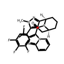 Cn1nc2c(c1-c1cc(F)c(F)c(F)c1)C[C@@H]1CCC[C@H]2N1C(=O)c1c(C(F)F)nc2ccccn12